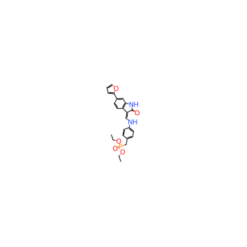 CCOP(=O)(Cc1ccc(NC=C2C(=O)Nc3cc(-c4ccco4)ccc32)cc1)OCC